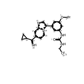 CC(C)Oc1cc(NC(=O)NCC(F)(F)F)cc(-c2cnc3cc(C(=N)C4CC4)ccn23)c1